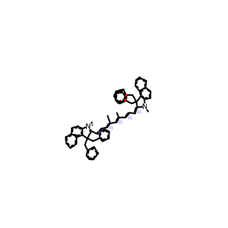 CC(=C\C=C\C1=[N+](C)c2ccc3ccccc3c2C1(Cc1ccccc1)Cc1ccccc1)/C=C(C)/C=C/C=C1/N(C)c2ccc3ccccc3c2C1(Cc1ccccc1)Cc1ccccc1